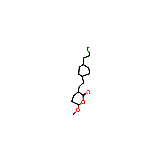 COC1CCC(CCC2CCC(CCF)CC2)C(=O)O1